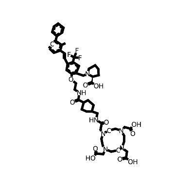 Cc1c(/C=C/c2cc(OCCNC(=O)C3CCC(CNC(=O)CN4CCN(CC(=O)O)CCN(CC(=O)O)CCN(CC(=O)O)CC4)CC3)c(CN3CCCC[C@H]3C(=O)O)cc2C(F)(F)F)cccc1-c1ccccc1